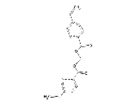 C=Cc1ccc(C(=O)OCOC(=O)c2ccc(C=C)cc2)cc1